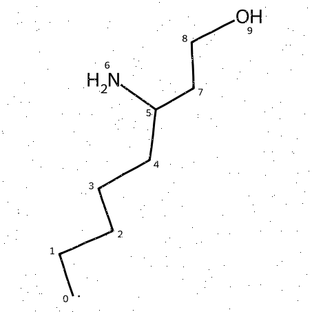 [CH2]CCCCC(N)CCO